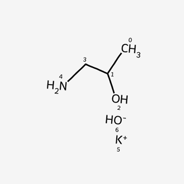 CC(O)CN.[K+].[OH-]